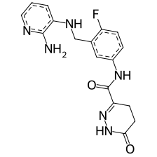 Nc1ncccc1NCc1cc(NC(=O)C2=NNC(=O)CC2)ccc1F